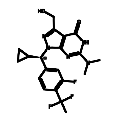 CN(C)c1nc2c(c(CO)nn2[C@H](c2ccc(C(C)(F)F)c(F)c2)C2CC2)c(=O)[nH]1